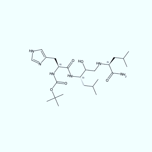 CC(C)C[C@H](NCC(O)[C@H](CC(C)C)NC(=O)[C@H](Cc1c[nH]cn1)NC(=O)OC(C)(C)C)C(N)=O